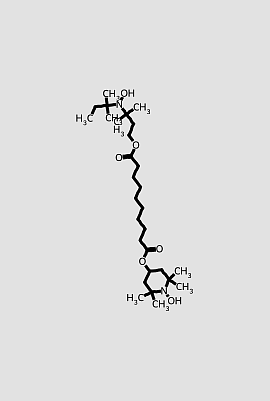 CCC(C)(C)N(O)C(C)(C)CCOC(=O)CCCCCCCCC(=O)OC1CC(C)(C)N(O)C(C)(C)C1